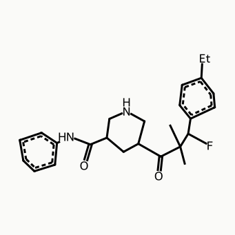 CCc1ccc(C(F)C(C)(C)C(=O)C2CNCC(C(=O)Nc3ccccc3)C2)cc1